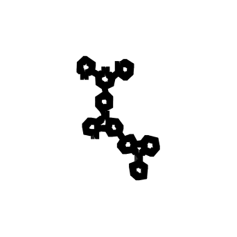 c1ccc(-n2c3ccccc3c3cc(-c4ccc5c(c4)c4ncccc4n5-c4ccc(-c5cc(-c6ccccn6)nc(-c6ccccn6)c5)cc4)ccc32)cc1